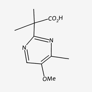 COc1cnc(C(C)(C)C(=O)O)nc1C